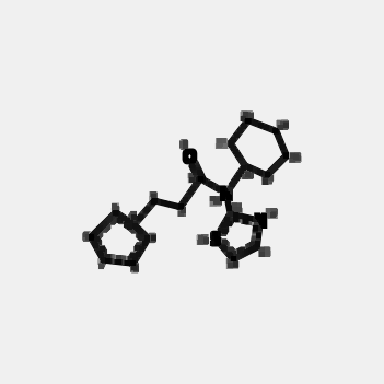 O=C(CCc1ccccc1)N(c1nccs1)C1CCCCC1